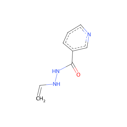 C=CNNC(=O)c1cccnc1